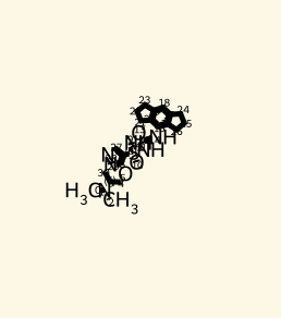 CN(C)[C@@H]1COc2c([S@@](=N)(=O)NC(=O)Nc3c4c(cc5c3CCC5)CCC4)cnn2C1